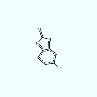 O=C1N=c2ccc(Br)nc2=N1